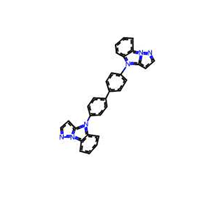 c1ccc2c(c1)n(-c1ccc(-c3ccc(-n4c5ccccc5n5nccc45)cc3)cc1)c1ccnn21